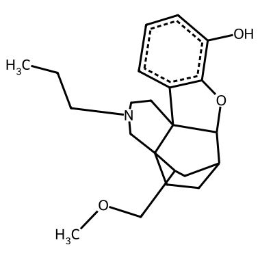 CCCN1CCC23c4cccc(O)c4OC2C2CCC3(C1)C(COC)C2